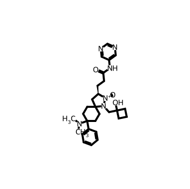 CN(C)C1(c2ccccc2)CCC2(CC1)C[C@@H](CCC(=O)Nc1cncnc1)[N+](=O)N2CC1(O)CCC1